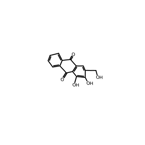 O=C1c2ccccc2C(=O)c2c1cc(CO)c(O)c2O